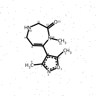 Cc1noc(C)c1C1=CCNCC(=O)N1C